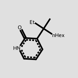 CCCCCCC(C)(CC)c1ccc[nH]c1=O